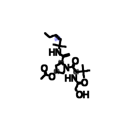 C=C(NC(C)(C)/C=C\CC)[C@@H]1C[C@@H](OC(C)=O)CN1C(=O)[C@@H](NC(=O)CO)C(C)(C)C